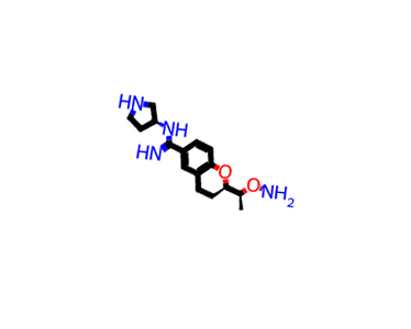 C[C@H](ON)[C@H]1CCc2cc(C(=N)N[C@H]3CCNC3)ccc2O1